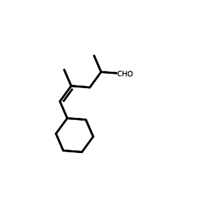 CC(=CC1CCCCC1)CC(C)C=O